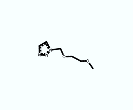 COCCOCn1ccnn1